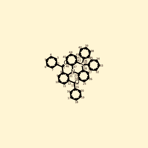 O=C(c1ccccc1)c1cccc(C(=O)c2ccccc2)c1N1c2ccccc2S(c2ccccc2)(c2ccccc2)c2ccccc21